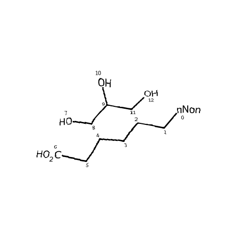 CCCCCCCCCCCCCCC(=O)O.OCC(O)CO